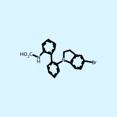 O=C(O)Nc1ccccc1-c1ccccc1N1CCc2cc(Br)ccc21